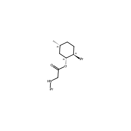 CC(C)NCC(=O)O[C@@H]1C[C@H](C)CC[C@H]1C(C)C